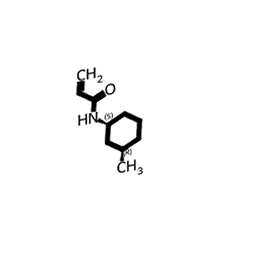 C=CC(=O)N[C@H]1CCC[C@@H](C)C1